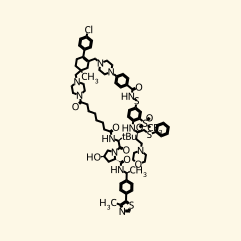 Cc1ncsc1-c1ccc([C@H](C)NC(=O)[C@@H]2C[C@@H](O)CN2C(=O)[C@@H](NC(=O)CCCCCCC(=O)N2CCN(C[C@]3(C)CCC(c4ccc(Cl)cc4)=C(CN4CCN(c5ccc(C(=O)NSc6ccc(N[C@H](CCN7CCOCC7)CSc7ccccc7)c(S(=O)(=O)C(F)(F)F)c6)cc5)CC4)C3)CC2)C(C)(C)C)cc1